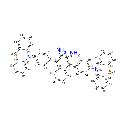 Nc1c(N)c(-c2ccc(N3c4ccccc4Sc4ccccc43)cc2)c2ccccc2c1-c1ccc(N2c3ccccc3Sc3ccccc32)cc1